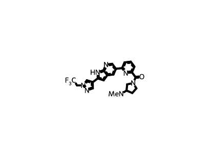 CNC1CCN(C(=O)c2cccc(-c3cnc4[nH]c(-c5cnn(CC(F)(F)F)c5)cc4c3)n2)C1